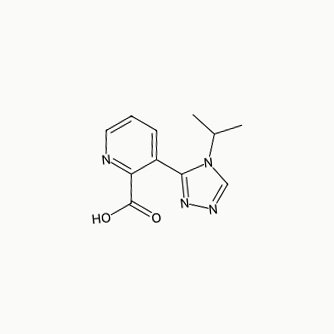 CC(C)n1cnnc1-c1cccnc1C(=O)O